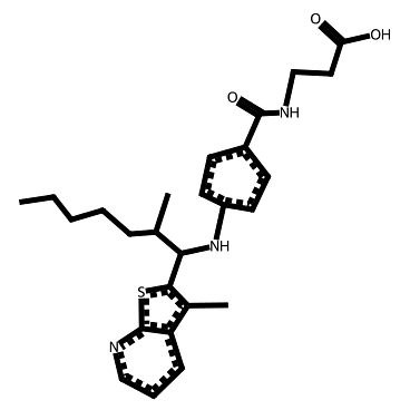 CCCCCC(C)C(Nc1ccc(C(=O)NCCC(=O)O)cc1)c1sc2ncccc2c1C